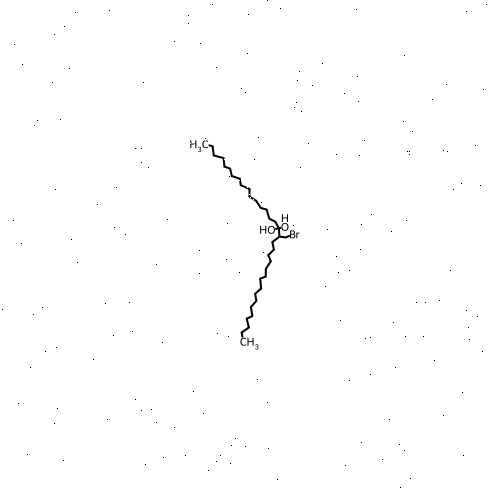 CCCCCCCCCCCCCCCCC(CBr)C(O)(O)CCCCCCCCCCCCCCCC